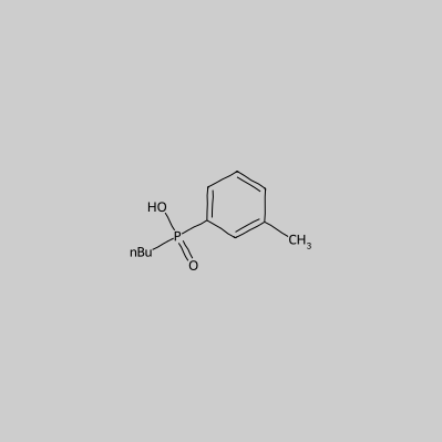 CCCCP(=O)(O)c1cccc(C)c1